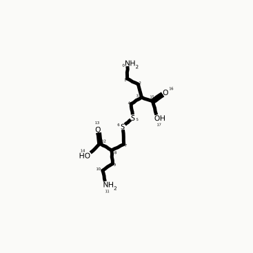 NCCC(CSSCC(CCN)C(=O)O)C(=O)O